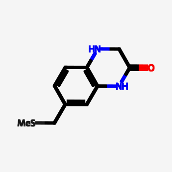 CSCc1ccc2c(c1)NC(=O)CN2